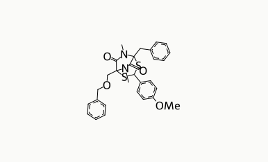 COc1ccc(C2SC3(COCc4ccccc4)C(=O)N(C)C(Cc4ccccc4)(S2)C(=O)N3C)cc1